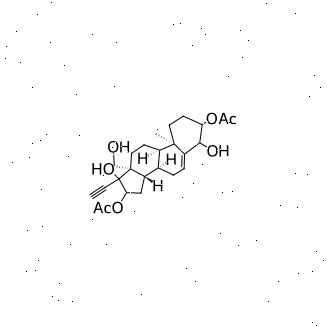 C#CC1(O)C(OC(C)=O)C[C@H]2[C@@H]3CC=C4C(O)C(OC(C)=O)CC[C@]4(C)[C@@H]3CC[C@@]21CO